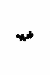 O=C1CCc2cc(CCC(=O)N3C[C@@H]4CN(c5ccccc5)C[C@@H]4C3)cnc2N1